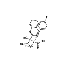 CC(C)(C)CC(O)(c1ccc2ccccc2n1)C(C#Cc1ccc(F)cc1)(C(=O)O)[PH](=O)O